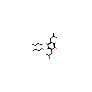 CCCCOc1c(CC(C)C)c(O)c(O)c(CC(C)C)c1OCCCC